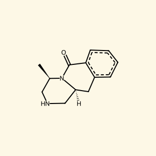 C[C@@H]1CNC[C@@H]2Cc3ccccc3C(=O)N21